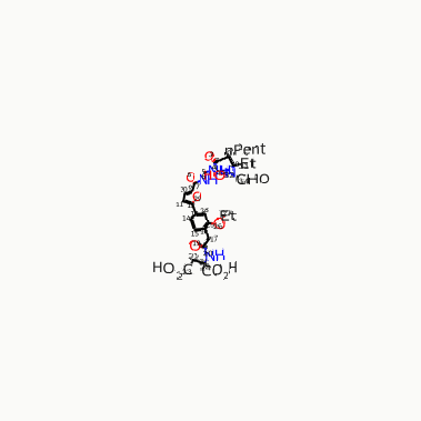 CCCCCC(C(=O)NCNC(=O)c1ccc(-c2ccc(CC(=O)NC(CC(=O)O)C(=O)O)c(OCC)c2)o1)C(CC)N(O)C=O